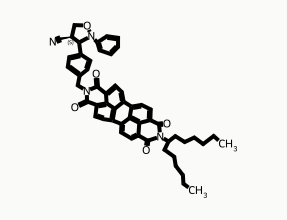 CCCCCCC(CCCCCC)N1C(=O)c2ccc3c4ccc5c6c(ccc(c7ccc(c2c37)C1=O)c64)C(=O)N(Cc1ccc(C2[C@@H](C#N)CON2c2ccccc2)cc1)C5=O